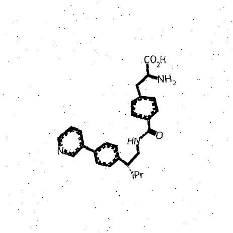 CC(C)[C@@H](CNC(=O)c1ccc(CC(N)C(=O)O)cc1)c1ccc(-c2cccnc2)cc1